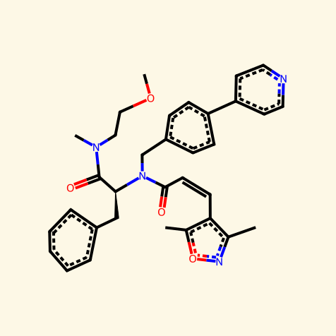 COCCN(C)C(=O)[C@H](Cc1ccccc1)N(Cc1ccc(-c2ccncc2)cc1)C(=O)C=Cc1c(C)noc1C